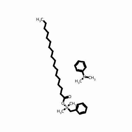 CCCCCCCCCCCCCCCCCC(=O)O[Si](C)(C)Cc1ccccc1.CN(C)c1ccccc1